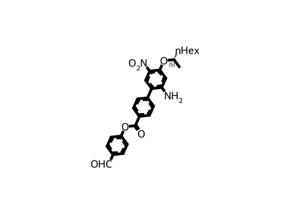 CCCCCC[C@H](C)Oc1cc(N)c(-c2ccc(C(=O)Oc3ccc(C=O)cc3)cc2)cc1[N+](=O)[O-]